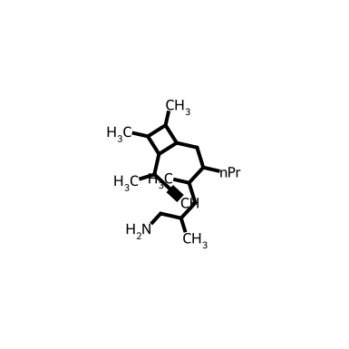 C#CC(C)C1C(C)C(C)C1CC(CCC)C(C)CC(C)CN